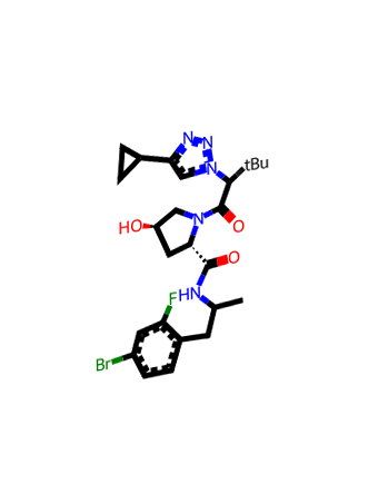 CC(Cc1ccc(Br)cc1F)NC(=O)[C@@H]1C[C@@H](O)CN1C(=O)C(n1cc(C2CC2)nn1)C(C)(C)C